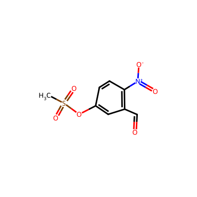 CS(=O)(=O)Oc1ccc([N+](=O)[O-])c(C=O)c1